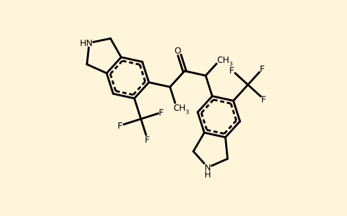 CC(C(=O)C(C)c1cc2c(cc1C(F)(F)F)CNC2)c1cc2c(cc1C(F)(F)F)CNC2